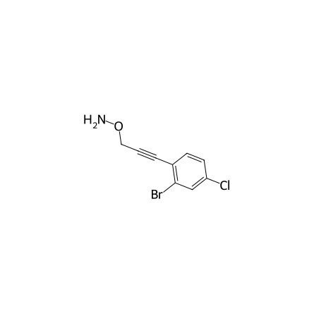 NOCC#Cc1ccc(Cl)cc1Br